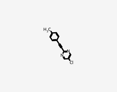 Cc1ccc(C#Cc2ncc(Cl)cn2)cc1